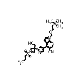 C[Si](C)(C)CCOCn1ccc2c(-c3cnn(C4(CC#N)CN(S(=O)(=O)CCC(F)(F)F)C4)c3)c(C#N)cnc21